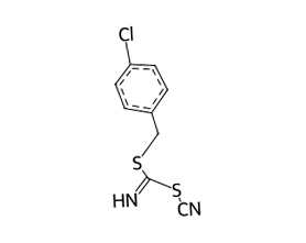 N#CSC(=N)SCc1ccc(Cl)cc1